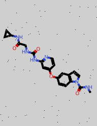 CNC(=O)n1ccc2cc(Oc3ccnc(NC(=O)NCC(=O)NC4CC4)c3)ccc21